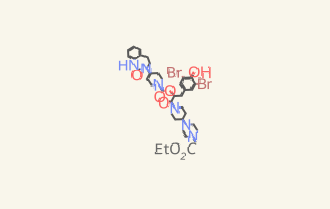 CCOC(=O)CN1CCN(C2CCN(C(=O)C(Cc3cc(Br)c(O)c(Br)c3)OC(=O)N3CCC(N4CCc5ccccc5NC4=O)CC3)CC2)CC1